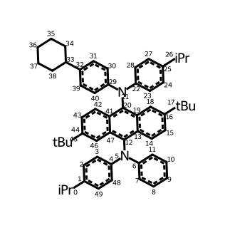 CC(C)c1ccc(N(c2ccccc2)c2c3ccc(C(C)(C)C)cc3c(N(c3ccc(C(C)C)cc3)c3ccc(C4CCCCC4)cc3)c3ccc(C(C)(C)C)cc23)cc1